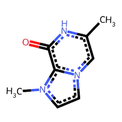 Cc1cn2cc[n+](C)c2c(=O)[nH]1